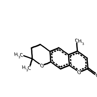 Cc1cc(=O)oc2cc3c(cc12)CCC(C)(C)O3